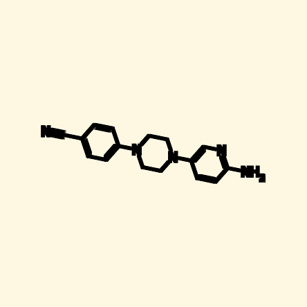 N#Cc1ccc(N2CCN(c3ccc(N)nc3)CC2)cc1